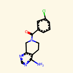 Nc1ncnc2c1CCN(C(=O)c1cccc(Cl)c1)C2